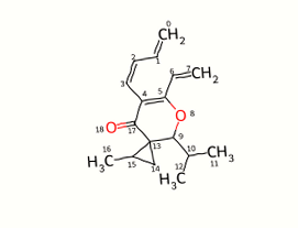 C=C/C=C\C1=C(C=C)OC(C(C)C)C2(CC2C)C1=O